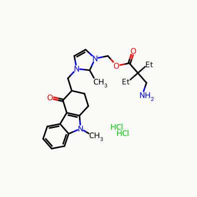 CCC(CC)(CN)C(=O)OCN1C=CN(CC2CCc3c(c4ccccc4n3C)C2=O)C1C.Cl.Cl